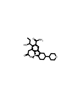 CCC(O)c1c(C(N)=O)cc2c3c(n(C)c2c1CC(N)=O)CCC(C1CCOCC1)C3